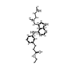 CCOC(=O)CCc1cccc(Nc2ncnc3[nH]cc(CN(C)CCNC)c23)c1